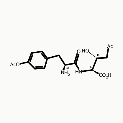 CC(=O)C[C@@H](O)[C@H](NC(=O)[C@@H](N)Cc1ccc(OC(C)=O)cc1)C(=O)O